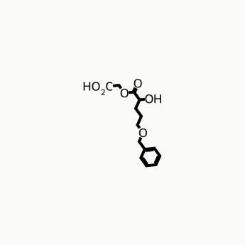 O=C(O)COC(=O)C(O)CCCOCc1ccccc1